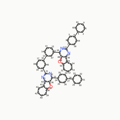 c1ccc(-c2ccc(-c3nc(-c4cccc(-c5cccc(-c6nc(-c7ccc(-c8ccccc8)cc7)c7oc8ccccc8c7n6)c5)c4)c4oc5ccccc5c4n3)cc2)cc1